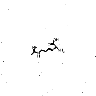 CC(=N)NCC/C=C/[C@](C)(N)C(=O)O